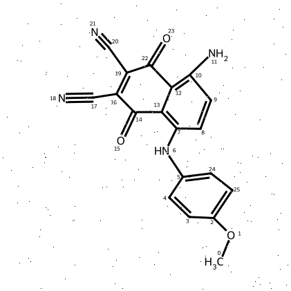 COc1ccc(Nc2ccc(N)c3c2C(=O)C(C#N)=C(C#N)C3=O)cc1